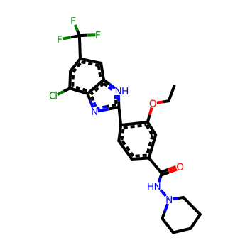 CCOc1cc(C(=O)NN2CCCCC2)ccc1-c1nc2c(Cl)cc(C(F)(F)F)cc2[nH]1